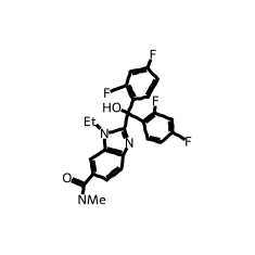 CCn1c(C(O)(c2ccc(F)cc2F)c2ccc(F)cc2F)nc2ccc(C(=O)NC)cc21